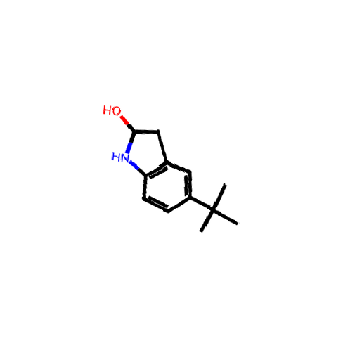 CC(C)(C)c1ccc2c(c1)CC(O)N2